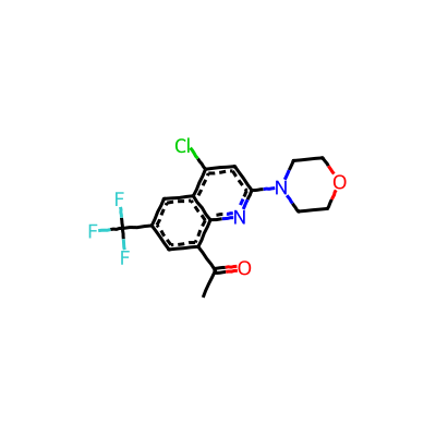 CC(=O)c1cc(C(F)(F)F)cc2c(Cl)cc(N3CCOCC3)nc12